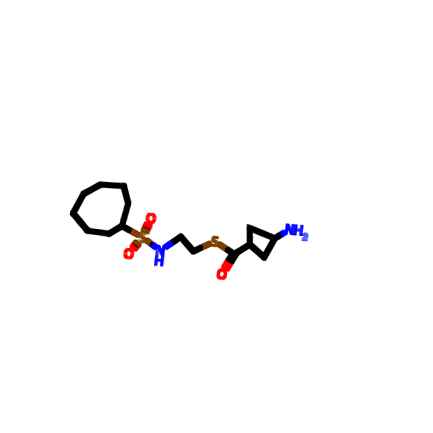 NC1CC(C(=O)SCCNS(=O)(=O)C2CCCCCCC2)C1